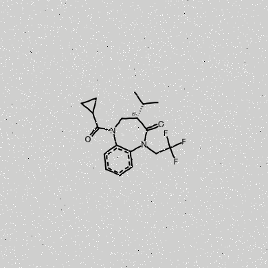 CC(C)[C@H]1CN(C(=O)C2CC2)c2ccccc2N(CC(F)(F)F)C1=O